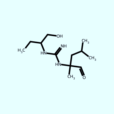 CCC(CO)NC(=N)NC(C)(C=O)CC(C)C